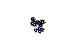 C(=C(c1ccccc1)c1ccccc1)N(c1ccccc1)c1ccc(C2(c3ccc(N(C=C(c4ccccc4)c4ccccc4)c4ccccc4)cc3)CCCCCC2)cc1